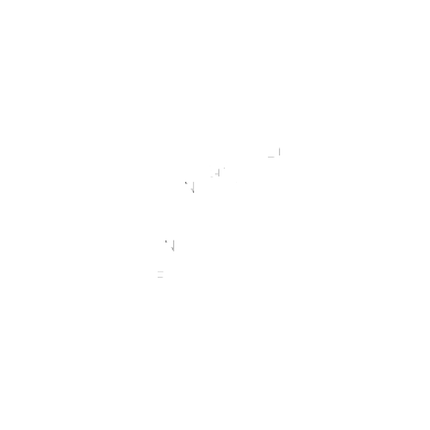 CCO[SiH2][n+]1ccn(CC)c1